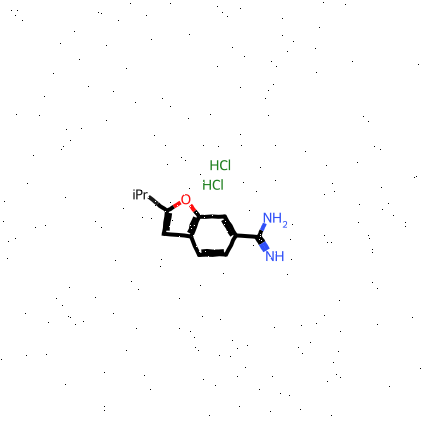 CC(C)c1cc2ccc(C(=N)N)cc2o1.Cl.Cl